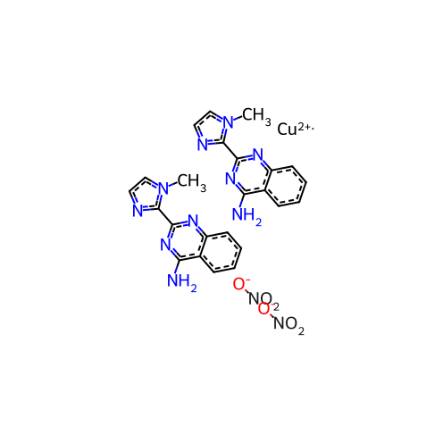 Cn1ccnc1-c1nc(N)c2ccccc2n1.Cn1ccnc1-c1nc(N)c2ccccc2n1.O=[N+]([O-])[O-].O=[N+]([O-])[O-].[Cu+2]